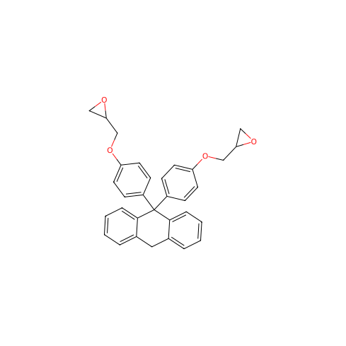 c1ccc2c(c1)Cc1ccccc1C2(c1ccc(OCC2CO2)cc1)c1ccc(OCC2CO2)cc1